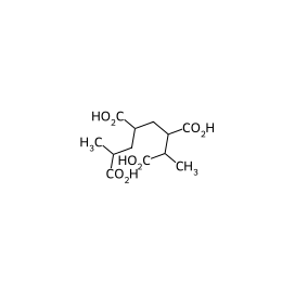 CC(CC(CC(C(=O)O)C(C)C(=O)O)C(=O)O)C(=O)O